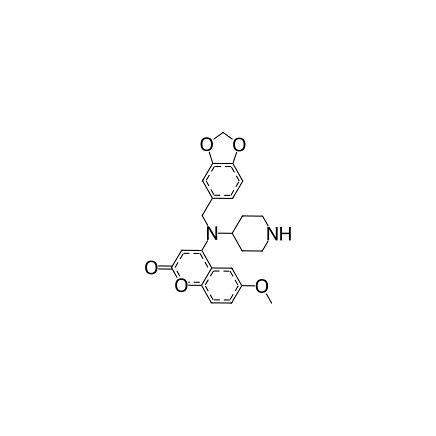 COc1ccc2oc(=O)cc(N(Cc3ccc4c(c3)OCO4)C3CCNCC3)c2c1